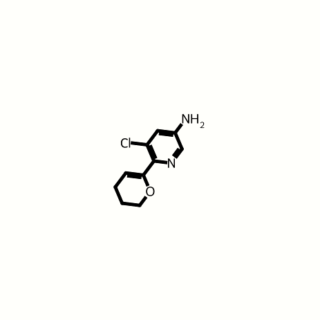 Nc1cnc(C2=CCCCO2)c(Cl)c1